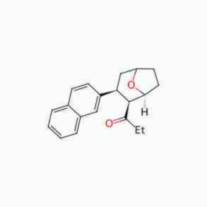 CCC(=O)[C@@H]1[C@@H]2CCC(C[C@@H]1c1ccc3ccccc3c1)O2